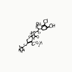 Cn1nnnc1SCC1=C(C(=O)O)N2C(=O)C(NC(=O)C(=NO)c3ccc(O)c(Cl)c3)[C@@H]2SC1